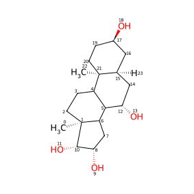 C[C@]12CCC3C(C1C[C@H](O)[C@@H]2O)[C@@H](O)C[C@@H]1C[C@H](O)CC[C@]31C